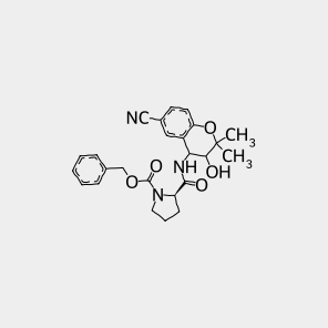 CC1(C)Oc2ccc(C#N)cc2C(NC(=O)[C@H]2CCCN2C(=O)OCc2ccccc2)C1O